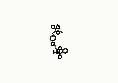 CCOC(Cc1ccc(OCCC2NC(=O)c3ccccc3O2)cc1)C(=O)OC